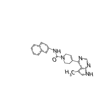 Cc1c[nH]c2ncnc(C3=CCN(C(=O)Nc4ccc5ccccc5c4)CC3)c12